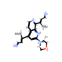 CN/C(=C\C=N)c1cc(N2CCOC[C@H]2C)nc2c(/C(=C/C=N)NC)nccc12